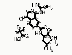 CC(C)CC(NC(=O)c1ccc2c(Cl)cnc(NC(=N)N)c2c1)C(=O)O.O=C(O)C(F)(F)F